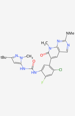 CNc1ncc2cc(-c3cc(NC(=O)Nc4cc(C(C)(C)C)nn4C)c(F)cc3Cl)c(=O)n(C)c2n1